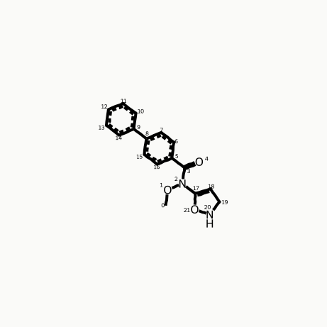 CON(C(=O)c1ccc(-c2ccccc2)cc1)C1=CCNO1